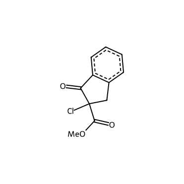 COC(=O)C1(Cl)Cc2ccccc2C1=O